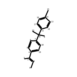 CC=C(C)c1ccc(C(C)(C)c2ccc(C)cc2)cc1